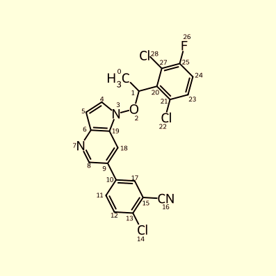 CC(On1ccc2ncc(-c3ccc(Cl)c(C#N)c3)cc21)c1c(Cl)ccc(F)c1Cl